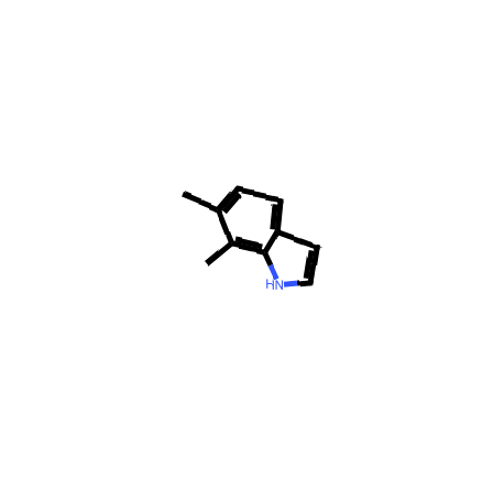 Cc1ccc2[c]c[nH]c2c1C